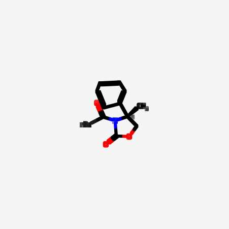 CCCCC(=O)N1C(=O)OC[C@@]1(C)c1ccccc1